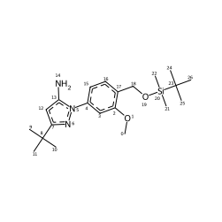 COc1cc(-n2nc(C(C)(C)C)cc2N)ccc1CO[Si](C)(C)C(C)(C)C